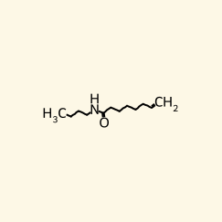 C=CCCCCCC(=O)NCCCC